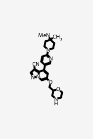 CNC1(C)CCN(c2ccc(-c3cc(OCC4CNCCO4)cn4ncc(C#N)c34)cn2)CC1